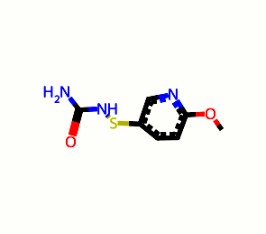 COc1ccc(SNC(N)=O)cn1